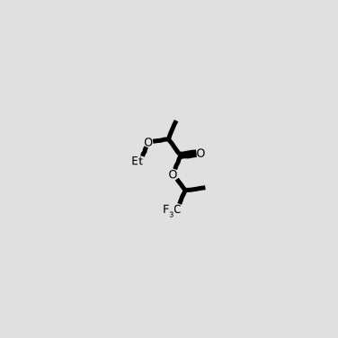 CCOC(C)C(=O)OC(C)C(F)(F)F